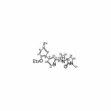 CCOc1ccc(F)cc1-c1ccnc([C@H]2CC[C@@]3(CCN(C)C3=O)N2)c1